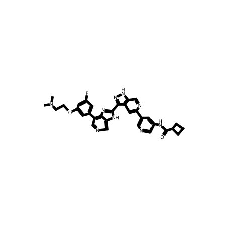 CN(C)CCOc1cc(F)cc(-c2cncc3[nH]c(-c4n[nH]c5cnc(-c6cncc(NC(=O)C7CCC7)c6)cc45)nc23)c1